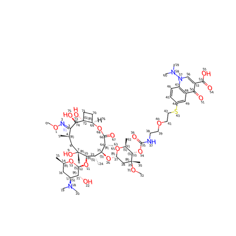 CO/N=C1\[C@H](C)C[C@@](C)(O)[C@H](O[C@@H]2O[C@H](C)C[C@H](N(C)C)[C@H]2O)[C@@H](C)[C@H](O[C@H]2C[C@@](C)(OC)[C@@H](OC(=O)NCCOCCSc3ccc4c(c3)c(=O)c(C(=O)O)cn4N(C)C)[C@H](C)O2)[C@@H](C)C(=O)O[C@@H]2CC[C@]2(O)[C@@H]1O